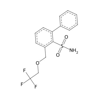 NS(=O)(=O)c1c(COCC(F)(F)F)cccc1-c1ccccc1